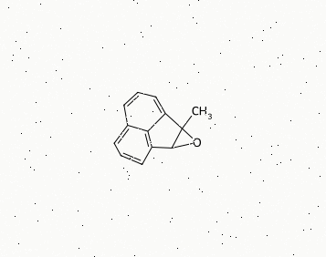 CC12OC1c1cccc3cccc2c13